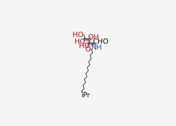 CC(C)CCCCCCCCCCCCCCC(=O)N[C@@H](C=O)[C@@H](O)[C@H](O)[C@H](O)CO